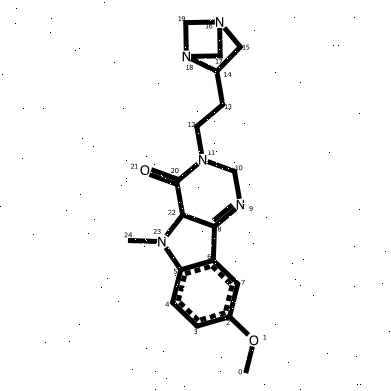 COc1ccc2c(c1)C1=NCN(CCC3CN4CN3C4)C(=O)C1N2C